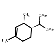 COC(OC)[C@@H]1CCC(C)=C[C@@H]1C